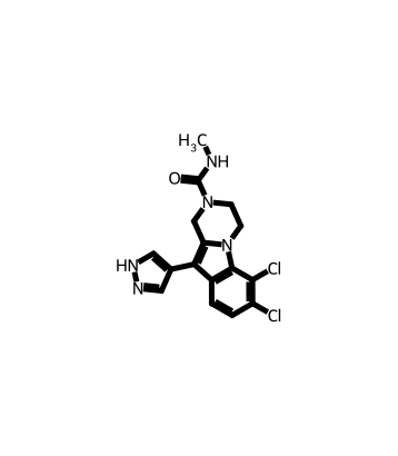 CNC(=O)N1CCn2c(c(-c3cn[nH]c3)c3ccc(Cl)c(Cl)c32)C1